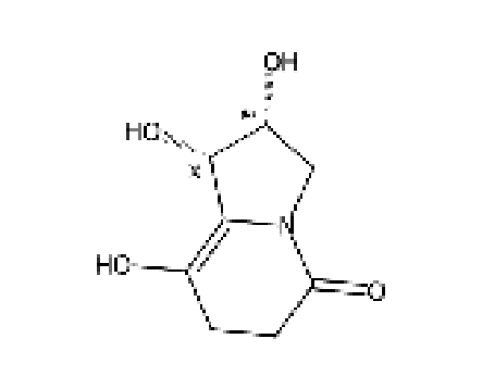 O=C1CCC(O)=C2[C@H](O)[C@H](O)CN12